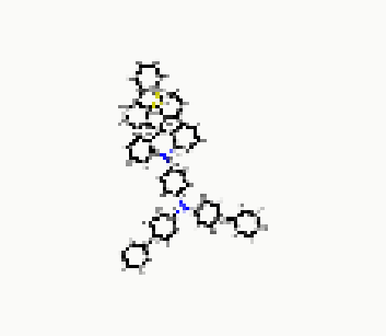 c1ccc(-c2ccc(N(c3ccc(-c4ccccc4)cc3)c3ccc(N4c5ccccc5C(c5ccccc5)(c5cccc6c5sc5ccccc56)c5ccccc54)cc3)cc2)cc1